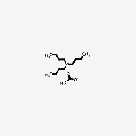 CC(=O)[O-].CCCC[P+](CCCC)CCCC